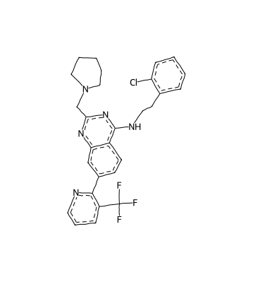 FC(F)(F)c1cccnc1-c1ccc2c(NCCc3ccccc3Cl)nc(CN3CCCCC3)nc2c1